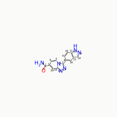 NC(=O)c1ccn2c(-c3ccc4[nH]ncc4c3)nnc2c1